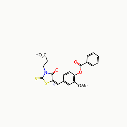 COc1cc(/C=C2/SC(=S)N(CCC(=O)O)C2=O)ccc1OC(=O)c1ccccc1